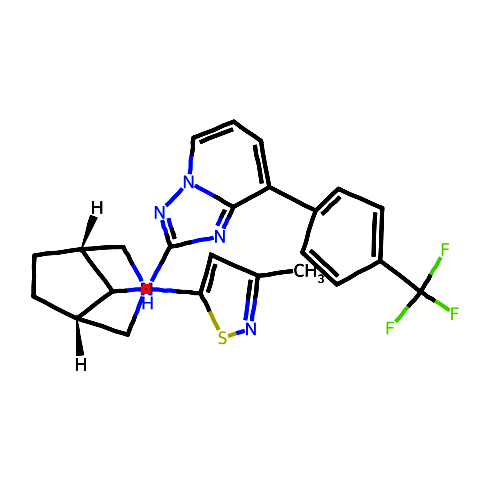 Cc1cc(N2C[C@H]3CC[C@@H](C2)C3Nc2nc3c(-c4ccc(C(F)(F)F)cc4)cccn3n2)sn1